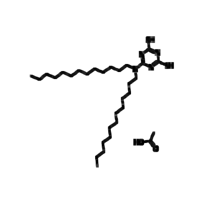 CC(=O)O.CCCCCCCCCCCCCN(CCCCCCCCCCCCC)c1nc(S)nc(S)n1